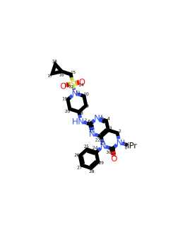 CC(C)N1Cc2cnc(NC3CCN(S(=O)(=O)CC4CC4)CC3)nc2N(c2ccccc2)C1=O